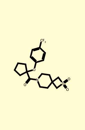 O=C(N1CCC2(CC1)CS(=O)(=O)C2)C1(Oc2ccc(C(F)(F)F)cc2)CCCC1